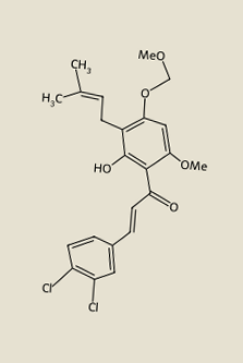 COCOc1cc(OC)c(C(=O)C=Cc2ccc(Cl)c(Cl)c2)c(O)c1CC=C(C)C